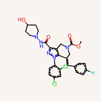 COC(=O)N1C/C(=C\c2ccc(F)cc2)c2c(c(C(=O)NN3CCC(O)CC3)nn2-c2ccc(Cl)cc2Cl)C1